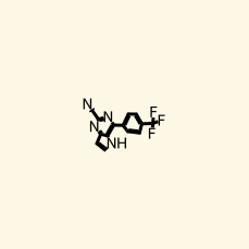 N#Cc1nc(-c2ccc(C(F)(F)F)cc2)c2[nH]ccc2n1